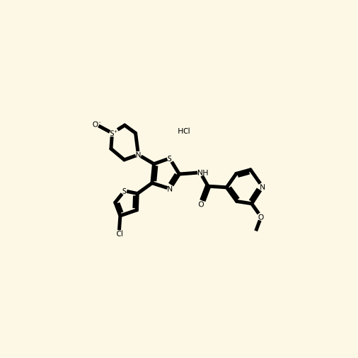 COc1cc(C(=O)Nc2nc(-c3cc(Cl)cs3)c(N3CC[S+]([O-])CC3)s2)ccn1.Cl